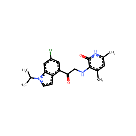 Cc1cc(C)c(NCC(=O)c2cc(Cl)cc3c2ccn3C(C)C)c(=O)[nH]1